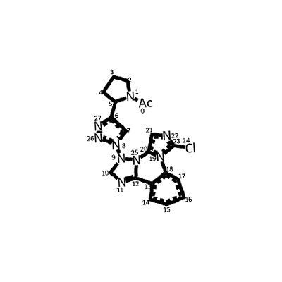 CC(=O)N1CCCC1c1cn(N2CN=C3c4ccccc4-n4c(cnc4Cl)N32)nn1